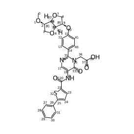 CO[C@@H]1CO[C@H]2[C@@H]1OC[C@H]2Oc1ccc(-c2ncc(NC(=O)c3ccc(-c4ccccc4)s3)c(=O)n2CC(=O)O)cc1